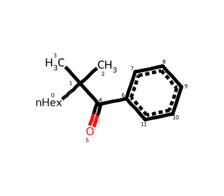 CCCCCCC(C)(C)C(=O)c1ccccc1